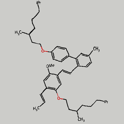 C/C=C/c1cc(OC)c(/C=C/c2ccc(C)cc2-c2ccc(OCCC(C)CCCC(C)C)cc2)cc1OCCC(C)CCCC(C)C